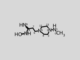 CNN1CCN(CCC(=N)NO)CC1